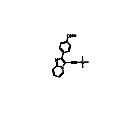 COc1ccc(-c2nc3ccccn3c2C#CS(C)(C)C)cc1